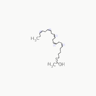 CC/C=C\C/C=C\C/C=C\C/C=C\C/C=C\CCCCSC(C)O